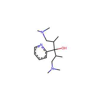 CC(CN(C)C)C(O)(c1ccccn1)C(C)CN(C)C